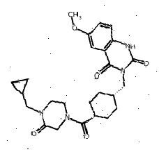 COc1ccc2[nH]c(=O)n(C[C@H]3CC[C@H](C(=O)N4CCN(CC5CC5)C(=O)C4)CC3)c(=O)c2c1